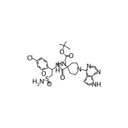 CC(C)(C)OC(=O)NC1(C(=O)NC(CS(N)(=O)=O)c2ccc(Cl)cc2)CCN(c2ncnc3[nH]ccc23)CC1